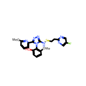 COC1=NC(c2nnc(NSCCc3ncc(F)cn3)n2-c2c(O)cccc2OC)=C=C=C1